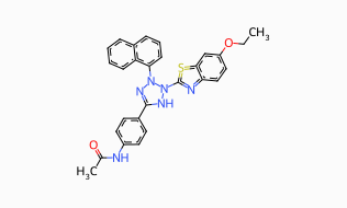 CCOc1ccc2nc(N3NC(c4ccc(NC(C)=O)cc4)=NN3c3cccc4ccccc34)sc2c1